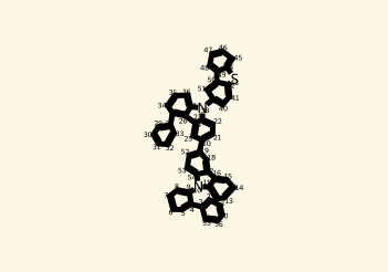 c1ccc(-c2ccccc2-n2c3ccccc3c3cc(-c4ccc5c(c4)c4c(-c6ccccc6)cccc4n5-c4ccc5sc6ccccc6c5c4)ccc32)cc1